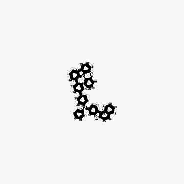 c1ccc(N(c2ccc(-c3ccc(-c4cccc5c6cccc7c6n(c45)-c4ccccc4O7)cc3)cc2)c2ccc3c(c2)oc2ccc4ccccc4c23)cc1